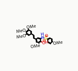 COc1ccc(S(=O)(=O)Nc2cc(C=Cc3cc(OC)c(OC)c(OC)c3)cc(OC)c2O)cc1